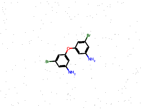 Nc1cc(Br)cc(Oc2cc(N)cc(Br)c2)c1